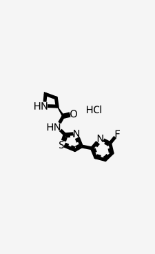 Cl.O=C(Nc1nc(-c2cccc(F)n2)cs1)[C@@H]1CCN1